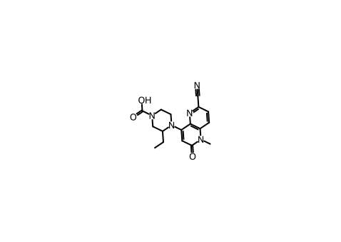 CCC1CN(C(=O)O)CCN1c1cc(=O)n(C)c2ccc(C#N)nc12